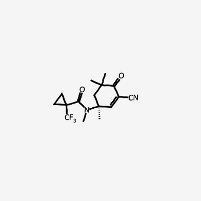 CN(C(=O)C1(C(F)(F)F)CC1)[C@]1(C)C=C(C#N)C(=O)C(C)(C)C1